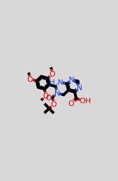 COc1cc(OC)c(CN(Cc2c(N)ncnc2C(=O)O)C(=O)OC(C)(C)C)c(OC)c1